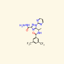 CC(NC(=O)c1cc(C(F)(F)F)cc(C(F)(F)F)c1)c1nc(C(=O)NN)nn1-c1ncccn1